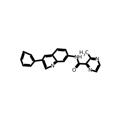 Cc1nccnc1C(=O)Nc1ccc2cc(-c3ccccc3)cnc2c1